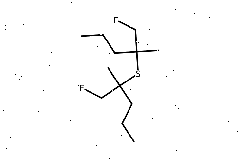 CCCC(C)(CF)SC(C)(CF)CCC